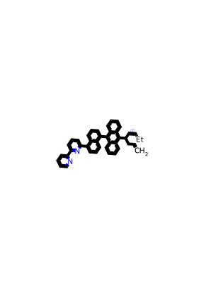 C=CCC(/C=C\CC)c1c2ccccc2c(-c2cccc3c(-c4cccc(-c5ccccn5)n4)cccc23)c2ccccc12